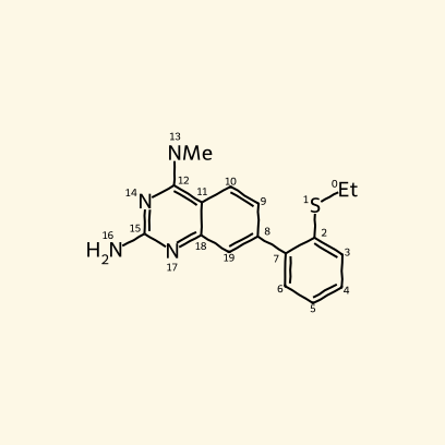 CCSc1ccccc1-c1ccc2c(NC)nc(N)nc2c1